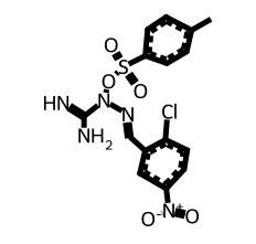 Cc1ccc(S(=O)(=O)ON(N=Cc2cc([N+](=O)[O-])ccc2Cl)C(=N)N)cc1